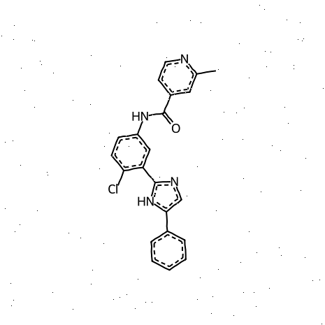 Cc1cc(C(=O)Nc2ccc(Cl)c(-c3ncc(-c4ccccc4)[nH]3)c2)ccn1